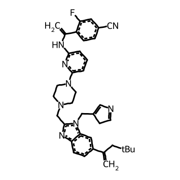 C=C(CC(C)(C)C)c1ccc2nc(CN3CCN(c4cccc(NC(=C)c5ccc(C#N)cc5F)n4)CC3)n(CC3=CN=CC3)c2c1